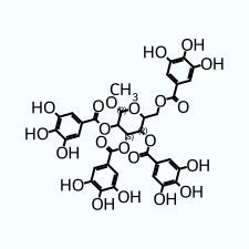 CO[C@@H]1OC(COC(=O)c2cc(O)c(O)c(O)c2)[C@@H](OC(=O)c2cc(O)c(O)c(O)c2)[C@H](OC(=O)c2cc(O)c(O)c(O)c2)C1OC(=O)c1cc(O)c(O)c(O)c1